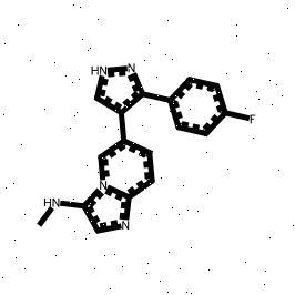 CNc1cnc2ccc(-c3c[nH]nc3-c3ccc(F)cc3)cn12